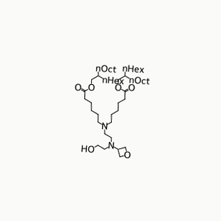 CCCCCCCCC(CCCCCC)COC(=O)CCCCCN(CCCCCC(=O)OCC(CCCCCC)CCCCCCCC)CCN(CCO)C1COC1